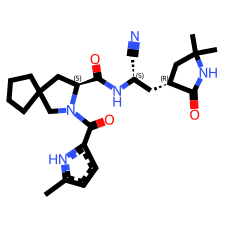 Cc1ccc(C(=O)N2CC3(CCCC3)C[C@H]2C(=O)N[C@H](C#N)C[C@@H]2CC(C)(C)NC2=O)[nH]1